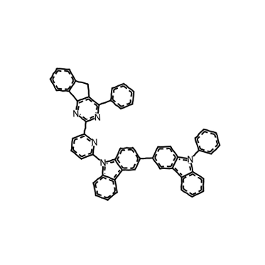 c1ccc(-c2nc(-c3cccc(-n4c5ccccc5c5cc(-c6ccc7c(c6)c6ccccc6n7-c6ccccc6)ccc54)n3)nc3c2Cc2ccccc2-3)cc1